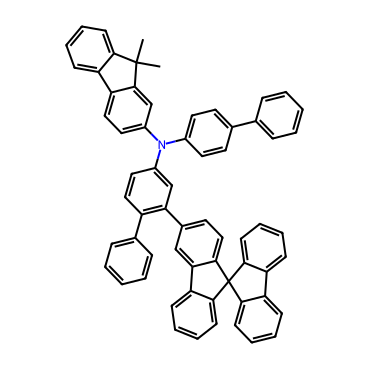 CC1(C)c2ccccc2-c2ccc(N(c3ccc(-c4ccccc4)cc3)c3ccc(-c4ccccc4)c(-c4ccc5c(c4)-c4ccccc4C54c5ccccc5-c5ccccc54)c3)cc21